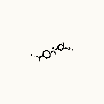 CNC1CCN(S(=O)(=O)c2cnn(C)c2)CC1